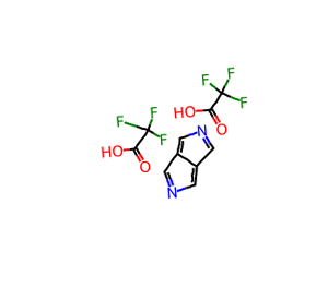 C1=NC=C2C=NC=C12.O=C(O)C(F)(F)F.O=C(O)C(F)(F)F